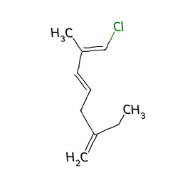 C=C(CC)CC=CC(C)=CCl